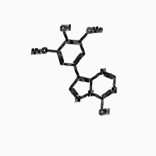 COc1cc(-c2cnn3c(O)ncnc23)cc(OC)c1O